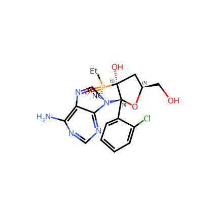 CCP(=O)(C#N)[C@@]1(O)C[C@@H](CO)O[C@@]1(c1ccccc1Cl)n1cnc2c(N)ncnc21